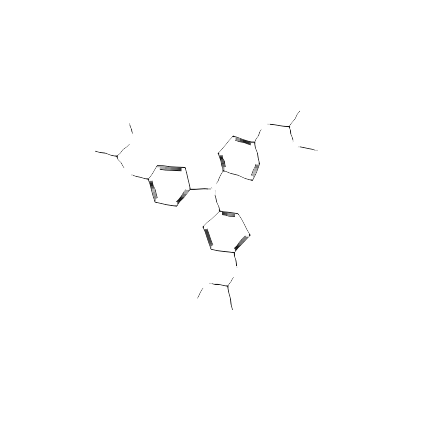 CCOC(C)Oc1ccc(N(c2ccc(OC(C)OCC)cc2)c2ccc(OC(C)OCC)cc2)cc1